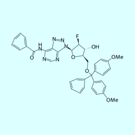 COc1ccc(C(OC[C@H]2O[C@@H](n3nnc4c(NC(=O)c5ccccc5)ncnc43)[C@@H](F)[C@@H]2O)(c2ccccc2)c2ccc(OC)cc2)cc1